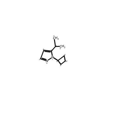 CC(C)c1ccnn1C1CCC1